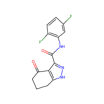 O=C(Nc1cc(F)ccc1F)c1n[nH]c2c1C(=O)CCC2